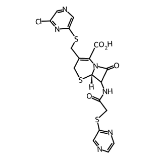 O=C(CSc1cnccn1)NC1C(=O)N2C(C(=O)O)=C(CSc3cncc(Cl)n3)CS[C@@H]12